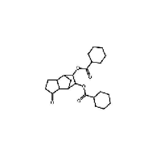 O=C(OC1C2CC(C1OC(=O)C1CCCCC1)C1C(=O)CCC21)C1CCCCC1